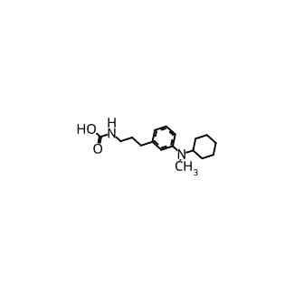 CN(c1cccc(CCCNC(=O)O)c1)C1CCCCC1